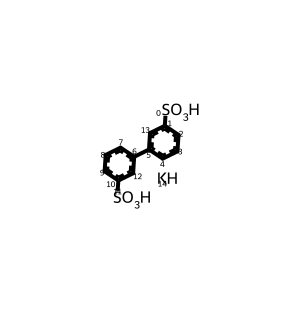 O=S(=O)(O)c1cccc(-c2cccc(S(=O)(=O)O)c2)c1.[KH]